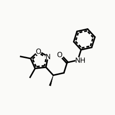 Cc1onc([C@H](C)CC(=O)Nc2ccccc2)c1C